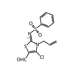 C=CCn1c(Cl)c(C=O)s/c1=N/S(=O)(=O)c1ccccc1